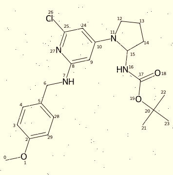 COc1ccc(CNc2cc(N3CCCC3NC(=O)OC(C)(C)C)cc(Cl)n2)cc1